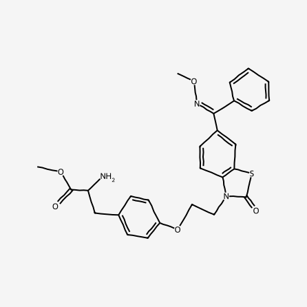 CO/N=C(\c1ccccc1)c1ccc2c(c1)sc(=O)n2CCOc1ccc(CC(N)C(=O)OC)cc1